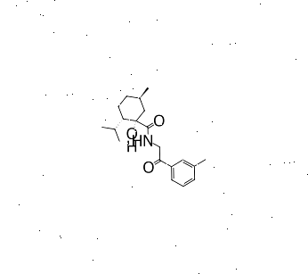 Cc1cccc(C(=O)CNC(=O)[C@]2(O)C[C@H](C)CC[C@H]2C(C)C)c1